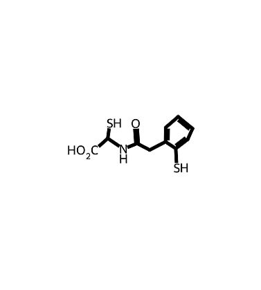 O=C(Cc1ccccc1S)NC(S)C(=O)O